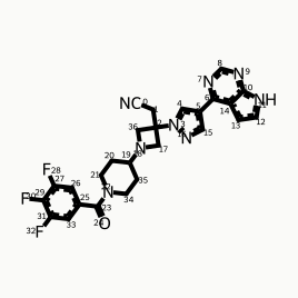 N#CCC1(n2cc(-c3ncnc4[nH]ccc34)cn2)CN(C2CCN(C(=O)c3cc(F)c(F)c(F)c3)CC2)C1